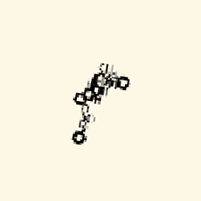 CC1CC[C@@H]2[C@H]3Cc4cccc(OCC(=O)OCc5ccccc5)c4C[C@H]3C[C@H]2OP(=O)(Oc2ccccc2)O1